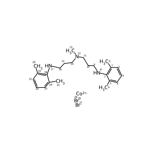 Cc1cccc(C)c1NCCCN(C)CCCNc1c(C)cccc1C.[Br-].[Br-].[Co+2]